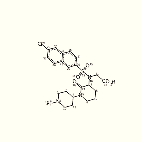 CC(C)N1CCC(N2CCCC(N(CC(=O)O)S(=O)(=O)c3ccc4cc(Cl)ccc4c3)C2=O)CC1